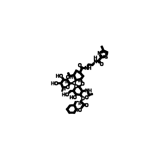 CCC1CC(C(=O)NCCNC(=O)c2nc(C)cs2)C[C@@H](O[C@@H]2OC(CO)C(O)C(O[C@@H](CC3CCCCC3)C(=O)O)C2NC(C)=O)C1OC1O[C@@H](C)C(O)C(O)[C@@H]1O